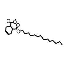 CCCCCCCCCCCCCCOC(=O)C1CC=CCC1C(=O)OC